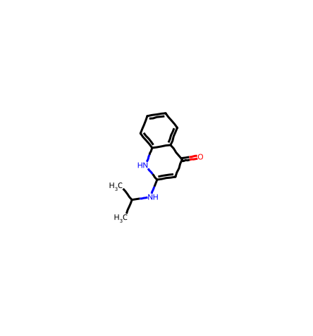 CC(C)Nc1cc(=O)c2ccccc2[nH]1